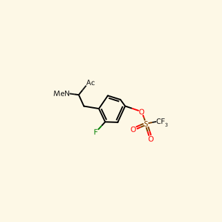 CNC(Cc1ccc(OS(=O)(=O)C(F)(F)F)cc1F)C(C)=O